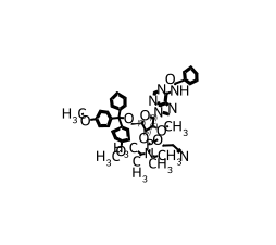 COc1ccc(C(OC[C@H]2O[C@@H](n3cnc4c(NC(=O)c5ccccc5)ncnc43)[C@@H](OC)[C@H]2OP(OCCC#N)N(C(C)C)C(C)C)(c2ccccc2)c2ccc(OC)cc2)cc1